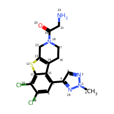 Cn1ncc(-c2cc(Cl)c(Cl)c3sc4c(c23)CCN(C(=O)CN)C4)n1